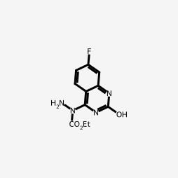 CCOC(=O)N(N)c1nc(O)nc2cc(F)ccc12